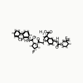 CC(=O)c1cn(CC(=O)N2C[C@H](F)C[C@H]2C(=O)Nc2cccc(-c3ccccc3Cl)c2F)c2ccc(NC(=O)N3CCCC(F)(F)C3)cc12